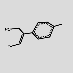 Cc1ccc(C(=CF)CO)cc1